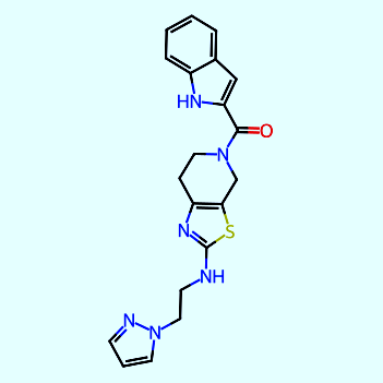 O=C(c1cc2ccccc2[nH]1)N1CCc2nc(NCCn3cccn3)sc2C1